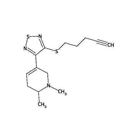 C#CCCCSc1nsnc1C1=CCC(C)N(C)C1